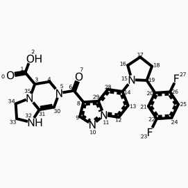 O=C(O)C1CN(C(=O)c2cnn3ccc(N4CCCC4c4cc(F)ccc4F)cc23)C=C2NCCN21